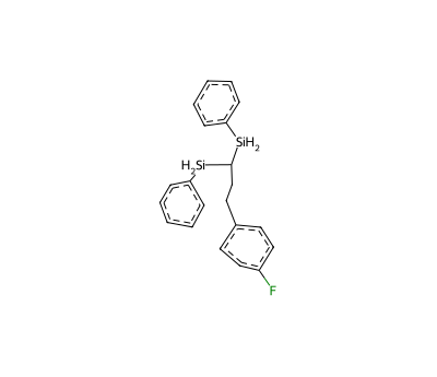 Fc1ccc(CCC([SiH2]c2ccccc2)[SiH2]c2ccccc2)cc1